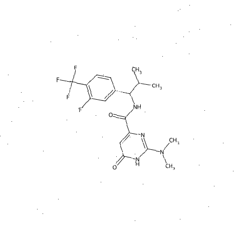 CC(C)C(NC(=O)c1cc(=O)[nH]c(N(C)C)n1)c1ccc(C(F)(F)F)c(F)c1